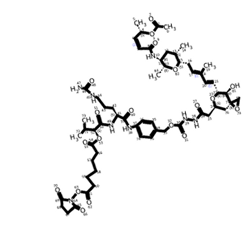 CC(=O)O[C@@H](C)/C=C\C(=O)N[C@@H]1C[C@H](C)[C@H](C/C=C(C)/C=C/[C@H]2O[C@H](CC(=O)NNC(=O)OCc3ccc(NC(=O)[C@H](CCCNC(N)=O)NC(=O)[C@@H](OC(=O)CCCCCC(=O)ON4C(=O)CCC4=O)C(C)C)cc3)C[C@@]3(CO3)[C@@H]2O)O[C@@H]1C